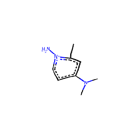 Cc1cc(N(C)C)cc[n+]1N